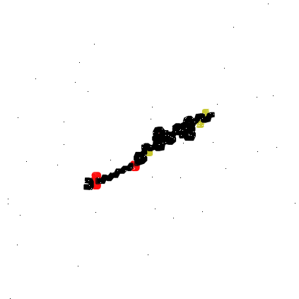 C=CC(C=C)OC(=O)CCCCCCCCCCOc1ccc(-c2ccc(-c3ccc4c(c3)C3(c5cc(-c6ccc7c(c6)C6(c8cc(-c9cc%10sc(C)cc%10s9)ccc8-7)C7(C)CCCC6(C)CCC7)ccc5-4)C4(C)CCCC3(C)CCC4)s2)cc1